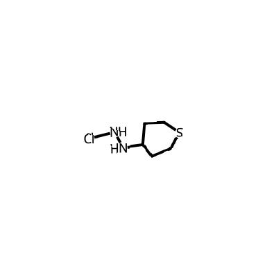 ClNNC1CCSCC1